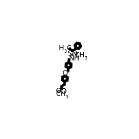 COC(=O)CCc1ccc(OCc2ccc(CNC3SC(C)=C(c4ccccc4)N3C)cc2)cc1